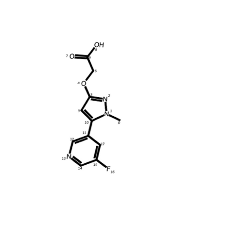 Cn1nc(OCC(=O)O)cc1-c1cncc(F)c1